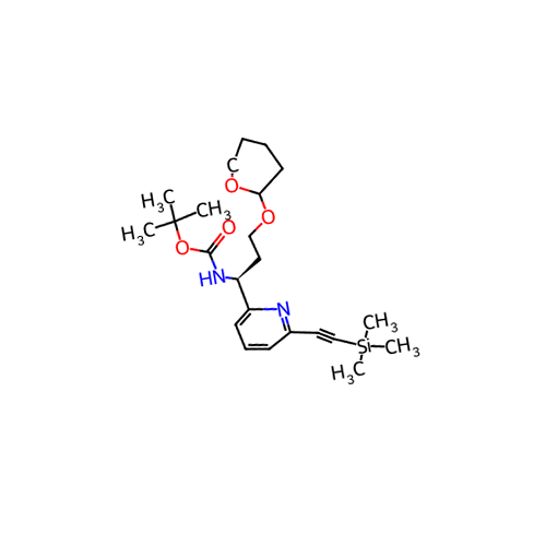 CC(C)(C)OC(=O)N[C@@H](CCOC1CCCCO1)c1cccc(C#C[Si](C)(C)C)n1